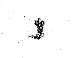 O=C(c1ccc(CO)o1)N1CC[C@]2(CC[C@@H](N3CCC[C@@H]3c3c(F)cccc3F)CC2)C1